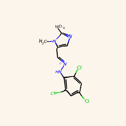 Cn1c(/C=N/Nc2c(Cl)cc(Cl)cc2Cl)cnc1[N+](=O)[O-]